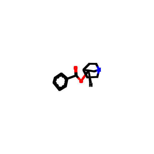 O=C(O[C@H]1CN2CCC1CC2)c1ccccc1